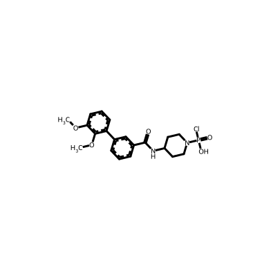 COc1cccc(-c2cccc(C(=O)NC3CCN(P(=O)(O)Cl)CC3)c2)c1OC